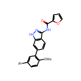 COc1ccc(C(C)C)cc1-c1ccc2c(NC(=O)c3ccco3)n[nH]c2c1